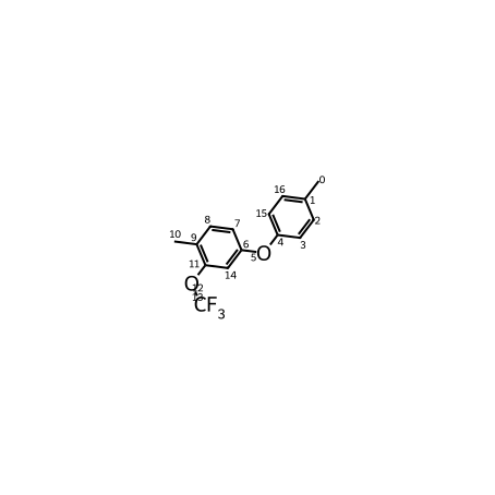 Cc1ccc(Oc2ccc(C)c(OC(F)(F)F)c2)cc1